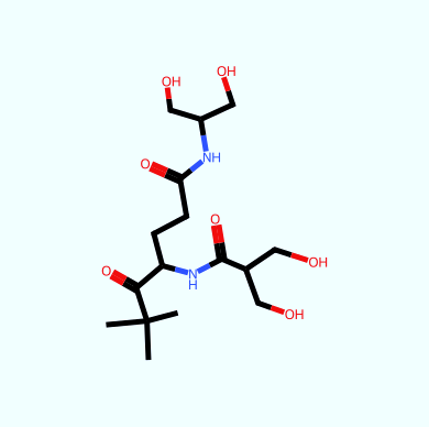 CC(C)(C)C(=O)C(CCC(=O)NC(CO)CO)NC(=O)C(CO)CO